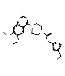 CCc1csc(NC(=O)N2CCN(c3ncnc4cc(OC)c(OC)cc34)CC2)c1